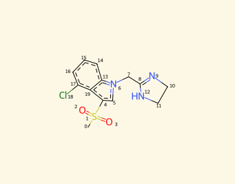 CS(=O)(=O)c1cn(CC2=NCCN2)c2cccc(Cl)c12